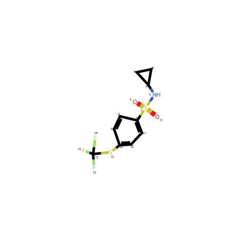 O=S(=O)(N[C]1CC1)c1ccc(SC(F)(F)F)cc1